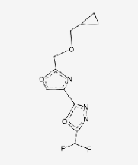 FC(F)c1nnc(-c2coc(COCC3CC3)n2)o1